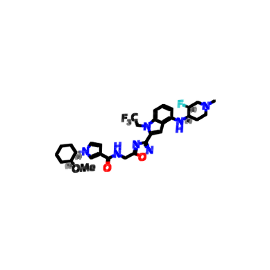 CO[C@H]1CCCC[C@@H]1n1ccc(C(=O)NCc2nc(-c3cc4c(N[C@@H]5CCN(C)C[C@@H]5F)cccc4n3CC(F)(F)F)no2)c1